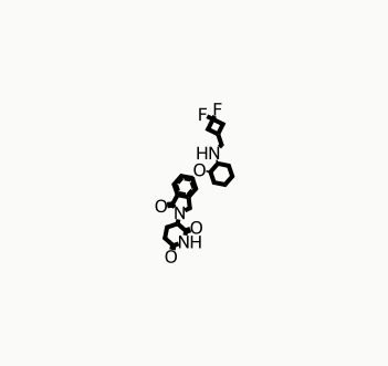 O=C1CCC(N2Cc3cc(O[C@H]4CCCC[C@H]4NCC4CC(F)(F)C4)ccc3C2=O)C(=O)N1